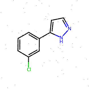 Clc1cccc(-c2c[c]n[nH]2)c1